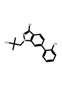 CC(=O)c1nn(CC(C)(C)O)c2cc(-c3ccccc3C#N)ccc12